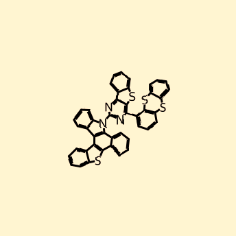 c1ccc2c(c1)Sc1cccc(-c3nc(-n4c5ccccc5c5c6c7ccccc7sc6c6ccccc6c54)nc4c3sc3ccccc34)c1S2